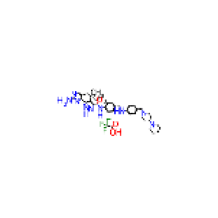 CC1(C)Cc2cnc(N)nc2-c2[nH]nc(C(=O)Nc3ccc(CNc4ccc(CN5CCC(N6CCCCC6)CC5)cc4)cc3)c21.O=C(O)C(F)(F)F